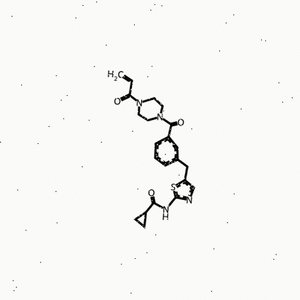 C=CC(=O)N1CCN(C(=O)c2cccc(Cc3cnc(NC(=O)C4CC4)s3)c2)CC1